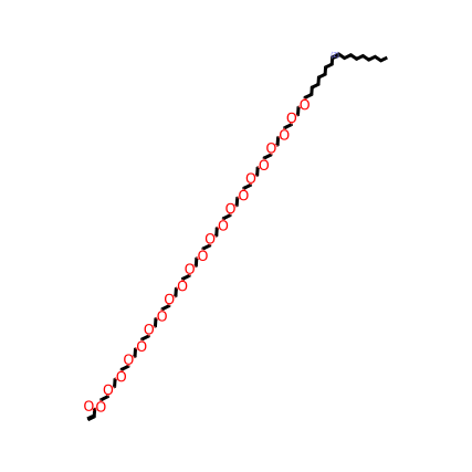 C=CC(=O)OCCOCCOCCOCCOCCOCCOCCOCCOCCOCCOCCOCCOCCOCCOCCOCCOCCOCCOCCOCCOCCCCCCCC/C=C\CCCCCCCC